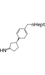 CCCCCCCCC1=CCC([C@H]2CCC(=N)C2)C=C1